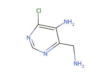 NCc1ncnc(Cl)c1N